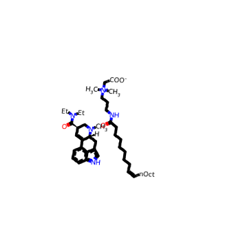 CCCCCCCC/C=C\CCCCCCCC(=O)NCCC[N+](C)(C)CC(=O)[O-].CCN(CC)C(=O)[C@@H]1C=C2c3cccc4[nH]cc(c34)C[C@H]2N(C)C1